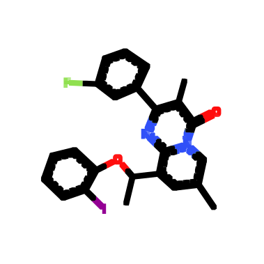 Cc1cc(C(C)Oc2ccccc2I)c2nc(-c3cccc(F)c3)c(C)c(=O)n2c1